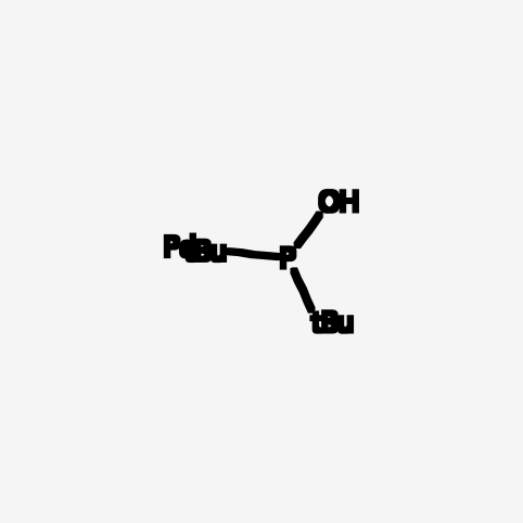 CC(C)(C)P(O)C(C)(C)C.[Pd]